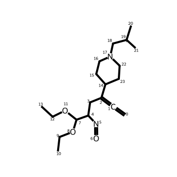 C=C=C(CC(N=O)C(OCC)OCC)C1CCN(C[C](C)C)CC1